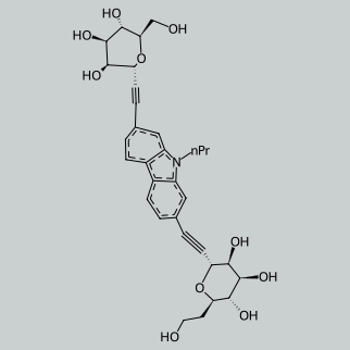 CCCn1c2cc(C#C[C@H]3O[C@H](CO)[C@@H](O)[C@H](O)[C@@H]3O)ccc2c2ccc(C#C[C@H]3O[C@H](CCO)[C@@H](O)[C@H](O)[C@@H]3O)cc21